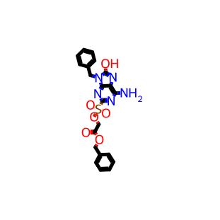 Nc1nc(S(=O)(=O)OCC(=O)OCc2ccccc2)nc2c1nc(O)n2Cc1ccccc1